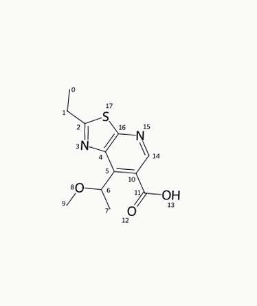 CCc1nc2c(C(C)OC)c(C(=O)O)cnc2s1